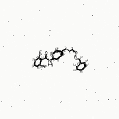 O=C(Nc1ccc(CC/C=N\OCc2ccccc2)cn1)c1c(F)cccc1F